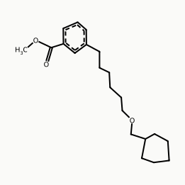 COC(=O)c1cccc(CCCCCCOCC2CCCCC2)c1